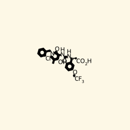 Cc1cn(Cc2ccccc2Cl)c(=O)c(NC(=O)N[C@@H](CC(=O)O)c2cccc(OCC(F)(F)F)c2)c1O